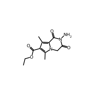 CCOC(=O)c1c(C)c2n(c1C)CC(=O)N(N)C2=O